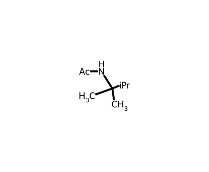 [CH2]C(=O)NC(C)(C)C(C)C